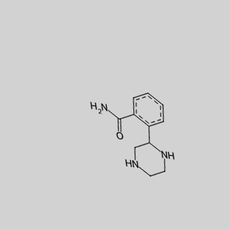 NC(=O)c1ccccc1C1CNCCN1